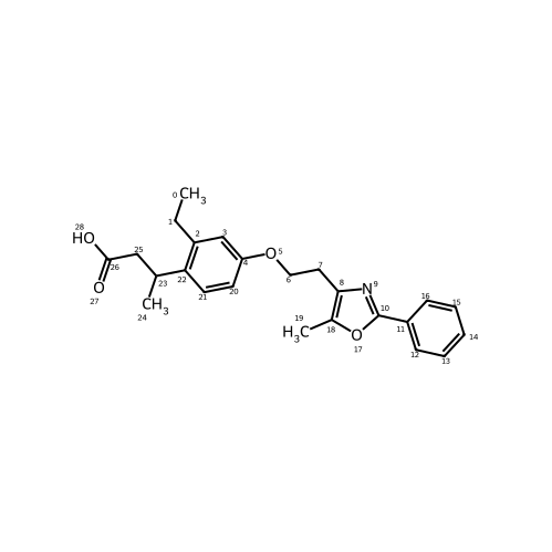 CCc1cc(OCCc2nc(-c3ccccc3)oc2C)ccc1C(C)CC(=O)O